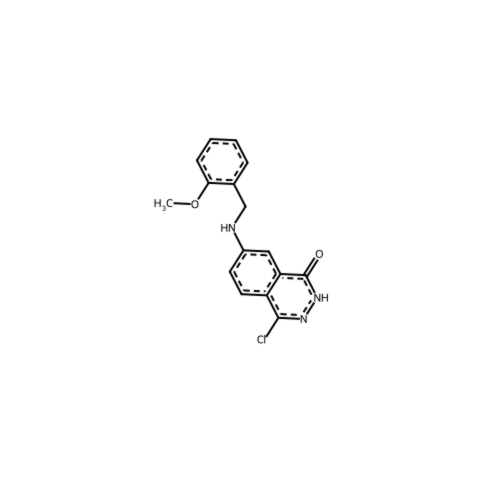 COc1ccccc1CNc1ccc2c(Cl)n[nH]c(=O)c2c1